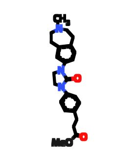 COC(=O)CCc1ccc(N2CCN(c3ccc4c(c3)CCN(C)CC4)C2=O)cc1